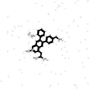 CC(C)Cc1c[n+](O)cc2cc(-c3ccccc3)c(-c3ccc(CN)cc3)cc12.Cl.[Cl-]